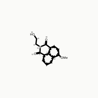 COc1ccc2c3c(cccc13)C(=O)N(CCO)C2=O